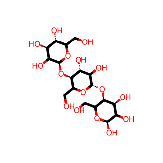 OCC1O[C@@H](O[C@@H]2C(CO)O[C@@H](O[C@@H]3C(CO)O[C@H](O)C(O)[C@@H]3O)C(O)[C@H]2O)C(O)[C@@H](O)[C@@H]1O